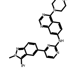 CC(C)c1c2cc(-c3ccnc(Nc4ccc5c(N6CCNCC6)ncnc5c4)n3)ccc2nn1C